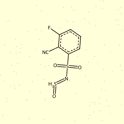 N#Cc1c(F)cccc1S(=O)(=O)N=[SH2]=O